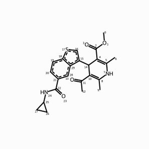 COC(=O)C1=C(C)NC(C)=C(C(C)=O)C1c1csc2ccc(C(=O)NC3CC3)cc12